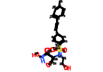 Cc1ccc(C#Cc2ccc(S(=O)(=O)N(CCO)[C@@H]([C]=O)C(=O)NO)cc2)cc1